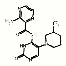 Nc1nccnc1C(=O)Nc1[nH]c(=O)ncc1N1CCCC(C(F)(F)F)C1